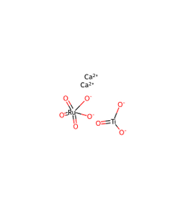 [Ca+2].[Ca+2].[O]=[Ru](=[O])(=[O])([O-])[O-].[O]=[Ti]([O-])[O-]